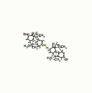 CC1(C)c2cc(Br)cc3c2-c2c1cc(SSc1cc4c5c(c1)C(C)(C)c1cc(Br)cc(c1-5)C4(C)C)cc2C3(C)C